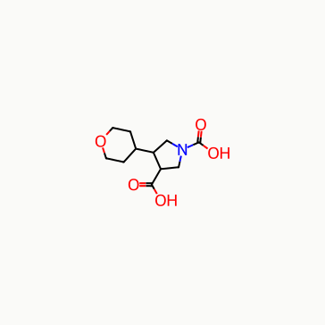 O=C(O)C1CN(C(=O)O)CC1C1CCOCC1